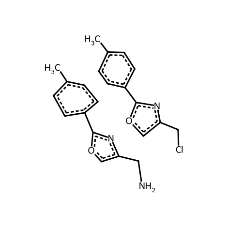 Cc1ccc(-c2nc(CCl)co2)cc1.Cc1ccc(-c2nc(CN)co2)cc1